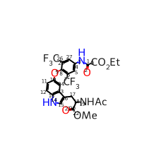 CCOC(=O)C(=O)Nc1cc(C(F)(F)F)c(Oc2ccc3[nH]cc(CC(NC(C)=O)C(=O)OC)c3c2)c(C(F)(F)F)c1